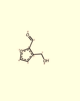 O=[C]c1occc1CO